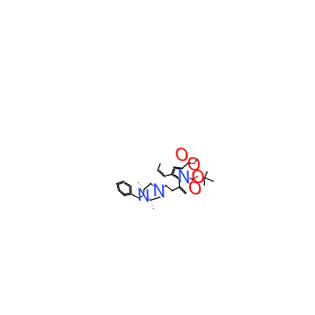 C=C(CCN1C[C@@H](C)N(Cc2ccccc2)[C@@H](C)C1)c1c(/C=C\C)cc(C(=O)OC)n1C(=O)OC(C)(C)C